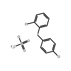 Clc1ccc([I+]c2ccccc2Cl)cc1.O=S(=O)([O-])C(F)(F)F